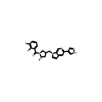 C[C@@H]1CC(Cn2ccc3cc(-c4cn[nH]c4)ncc32)CN1C(=O)c1cccc(F)c1F